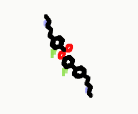 C/C=C/CCc1ccc(-c2ccc(OC(=O)c3ccc(CC/C=C/C)cc3F)cc2F)cc1